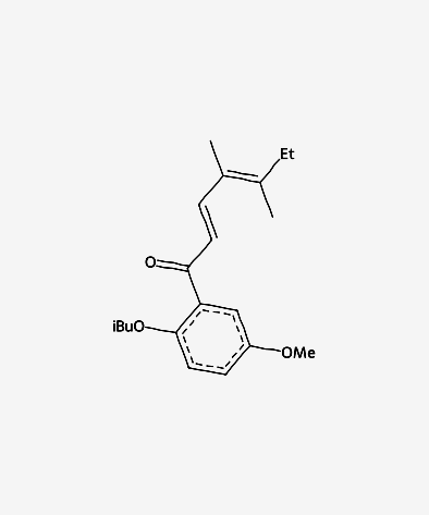 CCC(C)=C(C)C=CC(=O)c1cc(OC)ccc1OCC(C)C